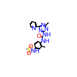 Cc1nc(NC(=O)Nc2ccc(NS(C)(=O)=O)cc2C)nc(-c2ccccn2)n1